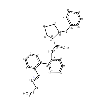 O=C(O)C/N=C/c1ccccc1-c1ccccc1NC(=O)[C@@H]1CCCN1Cc1ccccc1